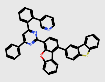 c1ccc(-c2cc(-c3ccccc3-c3cccnc3)nc(-c3ccc(-c4ccc5sc6ccccc6c5c4)c4c3oc3ccccc34)n2)cc1